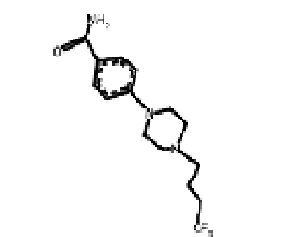 NC(=O)c1ccc(N2CCN(CCCC(F)(F)F)CC2)cc1